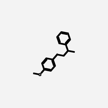 COc1ccc([CH]CC(C)c2ccccc2)cc1